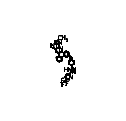 Cc1cc2ncc3cc(-c4ccccc4)c(-c4ccc(CN5CCC(c6nnc(-c7ccc(C(F)(F)F)cn7)[nH]6)CC5)cc4)nc3n2n1